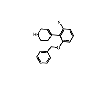 Fc1cccc(OCc2ccccc2)c1C1=CCNCC1